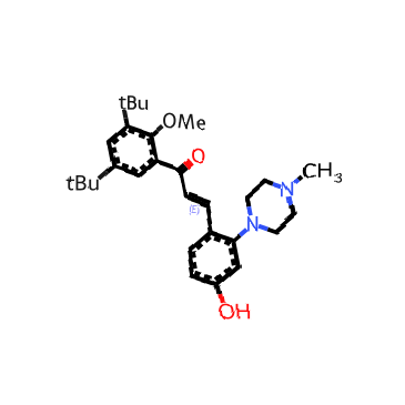 COc1c(C(=O)/C=C/c2ccc(O)cc2N2CCN(C)CC2)cc(C(C)(C)C)cc1C(C)(C)C